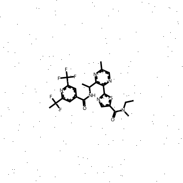 CCN(C)C(=O)c1cnc(-c2ncc(C)nc2C(C)NC(=O)c2cc(C(C)(F)F)nc(C(F)(F)F)c2)s1